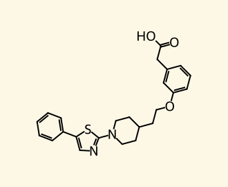 O=C(O)Cc1cccc(OCCC2CCN(c3ncc(-c4ccccc4)s3)CC2)c1